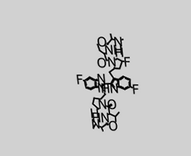 CCC(NC(=O)C(C)NC)C(=O)N1CC(F)CC1Cc1c(-c2nc3cc(F)ccc3n2CC2CCCN2C(=O)C(NC(=O)C(C)NC)C(C)C)[nH]c2cc(F)ccc12